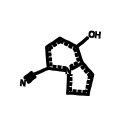 N#Cc1ccc(O)c2cccn12